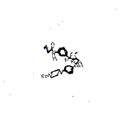 C/C=C/C(=O)Nc1cccc(C(F)(F)c2nc(Nc3ccc(N4CCN(CC)CC4)cc3)ncc2F)c1